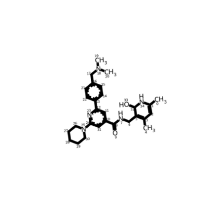 CC1=CC(C)=C(CNC(=O)c2cc(-c3ccc(CN(C)C)cc3)nc(N3CCCCC3)c2)C(O)N1